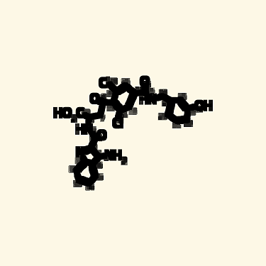 NC1C(C(=O)NC(CC(=O)c2c(Cl)cc(C(=O)NCc3cccc(O)c3)cc2Cl)C(=O)O)=Nc2ccccc21